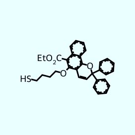 CCOC(=O)c1c(OCCCCS)c2c(c3ccccc13)OC(c1ccccc1)(c1ccccc1)C=C2